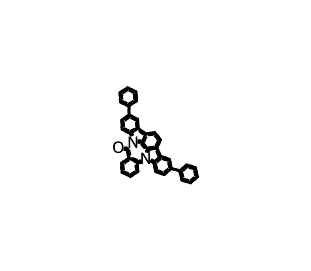 O=c1c2ccccc2n2c3ccc(-c4ccccc4)cc3c3ccc4c5cc(-c6ccccc6)ccc5n1c4c32